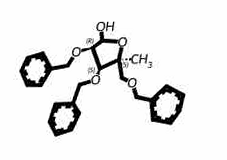 C[C@@]1(COCc2ccccc2)OC(O)[C@H](OCc2ccccc2)[C@@H]1OCc1ccccc1